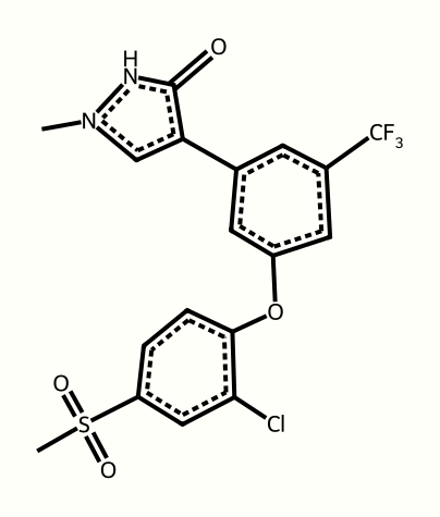 Cn1cc(-c2cc(Oc3ccc(S(C)(=O)=O)cc3Cl)cc(C(F)(F)F)c2)c(=O)[nH]1